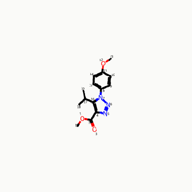 COC(=O)c1nnn(-c2ccc(OC)cc2)c1C(C)C